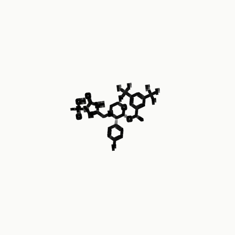 C[C@@H](O[C@H]1OCCN(Cc2nn(P(C)(=O)O)c(=O)[nH]2)[C@H]1c1ccc(F)cc1)c1cc(C(F)(F)F)cc(C(F)(F)F)c1